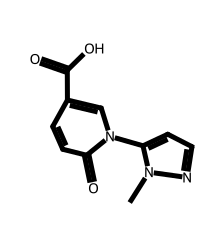 Cn1nccc1-n1cc(C(=O)O)ccc1=O